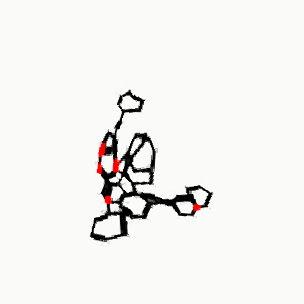 C(#Cc1ccccc1C12CC3CC(C1)CC(c1ccccc1C#Cc1ccccc1)(C3)C2(c1ccccc1C#Cc1ccccc1)c1ccccc1C#Cc1ccccc1)c1ccccc1